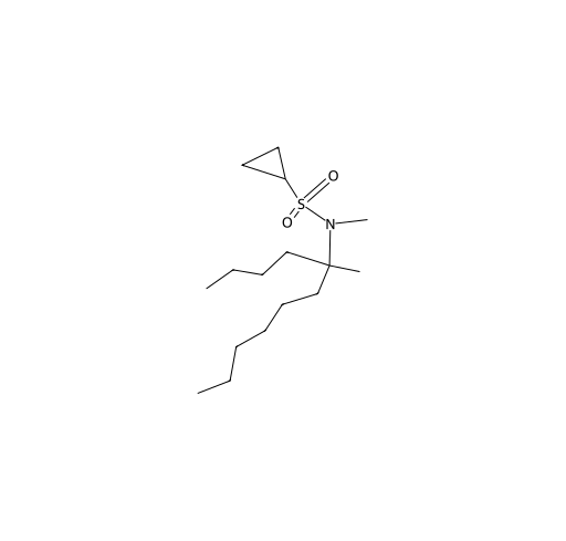 CCCCCCC(C)(CCCC)N(C)S(=O)(=O)C1CC1